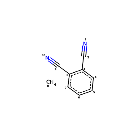 C.N#Cc1ccccc1C#N